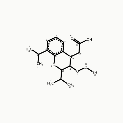 CC(C)c1cccc2c1OC(C(C)C)C(OOS)N2CC(=O)O